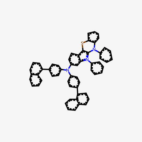 c1ccc(N2c3ccccc3Sc3c2n(-c2ccccc2)c2cc(N(c4ccc(-c5cccc6ccccc56)cc4)c4ccc(-c5cccc6ccccc56)cc4)ccc32)cc1